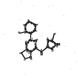 Cc1nc(Nc2nc(-c3ccccc3C)nc3c2OCC3)n[nH]1